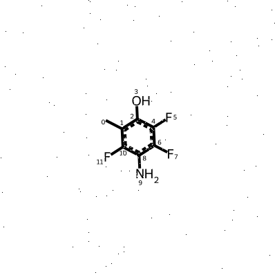 Cc1c(O)c(F)c(F)c(N)c1F